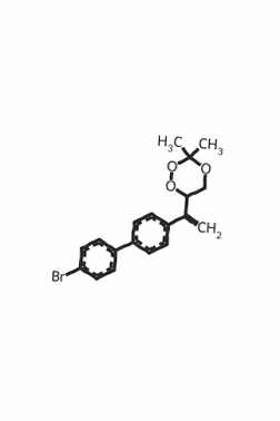 C=C(c1ccc(-c2ccc(Br)cc2)cc1)C1COC(C)(C)OO1